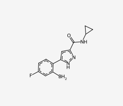 Bc1cc(F)ccc1-c1cc(C(=O)NC2CC2)n[nH]1